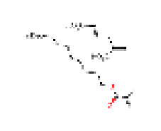 C=C(C)C(=O)O.C=C(C)C(=O)OCCCCCCCCCCCCCCCCCC.C=CC(=O)OCC